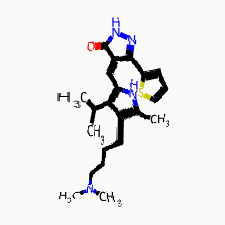 Cc1[nH]c(/C=C2/C(=O)NN=C2c2cccs2)c(C(C)C)c1CCCCN(C)C